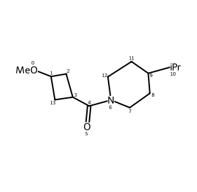 COC1CC(C(=O)N2CCC(C(C)C)CC2)C1